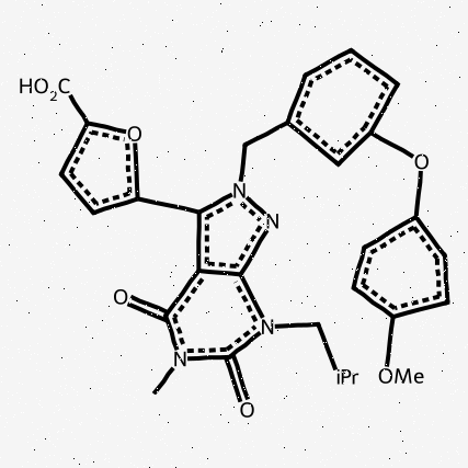 COc1ccc(Oc2cccc(Cn3nc4c(c3-c3ccc(C(=O)O)o3)c(=O)n(C)c(=O)n4CC(C)C)c2)cc1